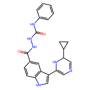 O=C(NNC(=O)c1ccc2[nH]cc(C3=CN=CC(C4CC4)N3)c2c1)Nc1ccccc1